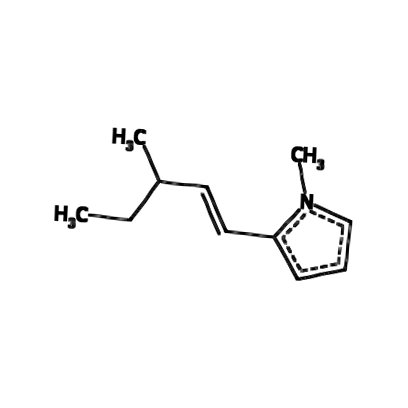 CCC(C)/C=C/c1cccn1C